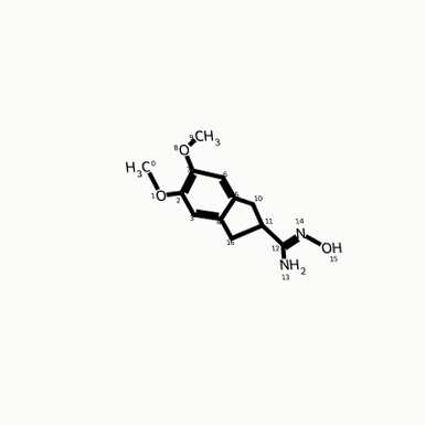 COc1cc2c(cc1OC)CC(/C(N)=N/O)C2